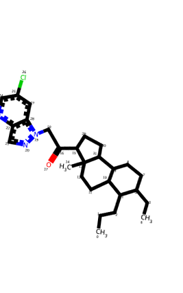 CCCC1C(CC)CCC2C1CCC1(C)C(C(=O)Cn3ncc4ncc(Cl)cc43)CCC21